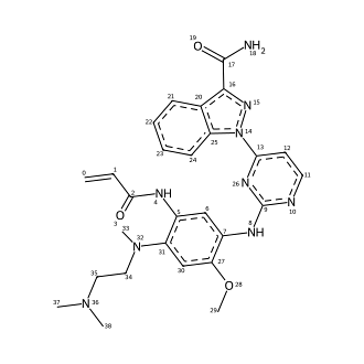 C=CC(=O)Nc1cc(Nc2nccc(-n3nc(C(N)=O)c4ccccc43)n2)c(OC)cc1N(C)CCN(C)C